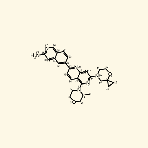 C[C@H]1COCCN1c1nc(N2CCOC3(CC3)C2)nc2nc(-c3ccc4cnc(N)nc4c3)ccc12